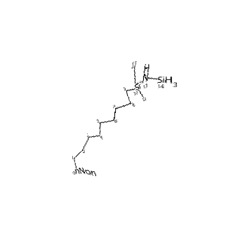 CCCCCCCCCCCCCCCCCC[Si](C)(C)N[SiH3]